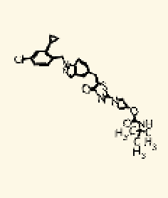 CC(C)(C)NC(=O)OC1CN(C2=NC(=O)C(=Cc3ccc4c(cnn4Cc4ccc(Cl)cc4C4CC4)c3)S2)C1